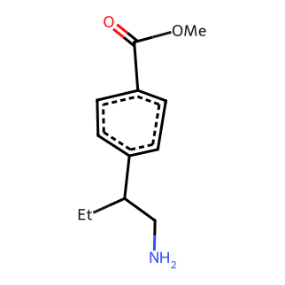 CCC(CN)c1ccc(C(=O)OC)cc1